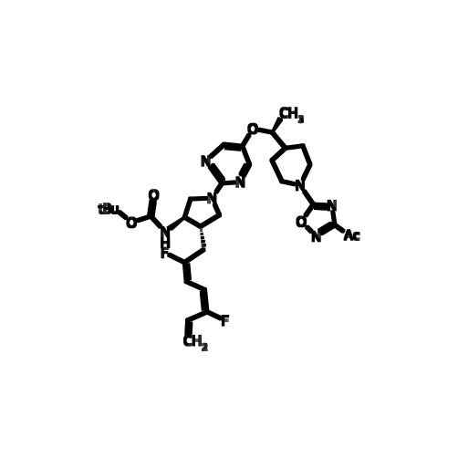 C=C/C(F)=C\C=C(\F)C[C@H]1CN(c2ncc(O[C@@H](C)C3CCN(c4nc(C(C)=O)no4)CC3)cn2)C[C@@H]1NC(=O)OC(C)(C)C